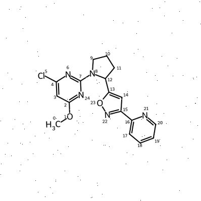 COc1cc(Cl)nc(N2CCCC2c2cc(-c3ccccn3)no2)n1